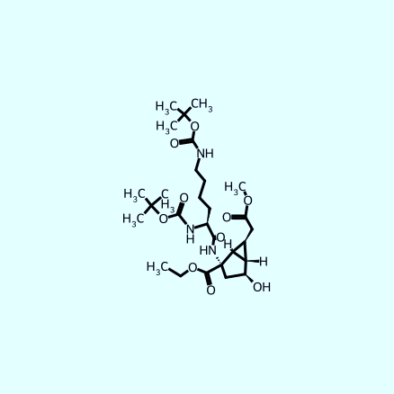 CCOC(=O)[C@]1(NC(=O)[C@H](CCCCNC(=O)OC(C)(C)C)NC(=O)OC(C)(C)C)C[C@H](O)[C@H]2[C@H](CC(=O)OC)[C@H]21